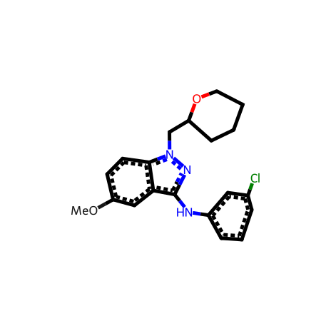 COc1ccc2c(c1)c(Nc1cccc(Cl)c1)nn2CC1CCCCO1